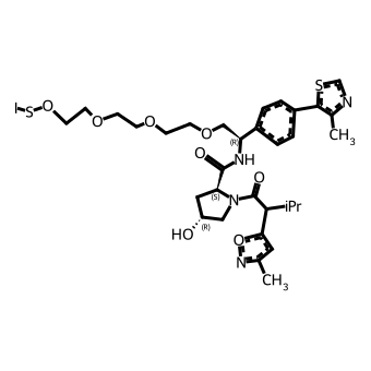 Cc1cc(C(C(=O)N2C[C@H](O)C[C@H]2C(=O)N[C@@H](COCCOCCOCCOSI)c2ccc(-c3scnc3C)cc2)C(C)C)on1